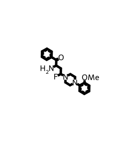 COc1ccccc1N1CCN(C(F)CC(N)C(=O)c2ccccc2)CC1